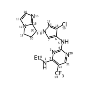 CCNc1nc(Nc2cn([C@@H]3CCn4ccnc43)nc2Cl)ncc1C(F)(F)F